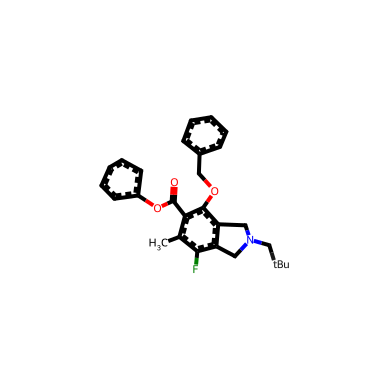 Cc1c(F)c2c(c(OCc3ccccc3)c1C(=O)Oc1ccccc1)CN(CC(C)(C)C)C2